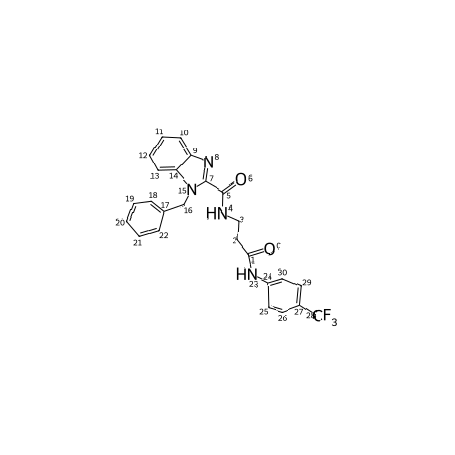 O=C(CCNC(=O)c1nc2ccccc2n1Cc1ccccc1)Nc1ccc(C(F)(F)F)cc1